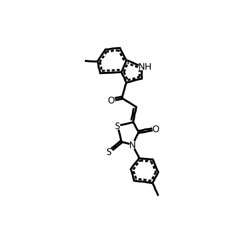 Cc1ccc(N2C(=O)/C(=C/C(=O)c3c[nH]c4ccc(C)cc34)SC2=S)cc1